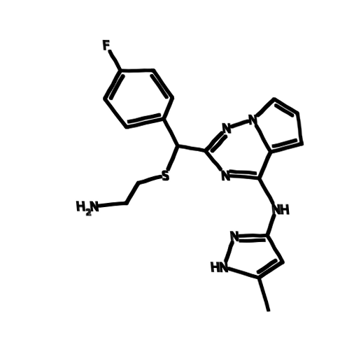 Cc1cc(Nc2nc(C(SCCN)c3ccc(F)cc3)nn3cccc23)n[nH]1